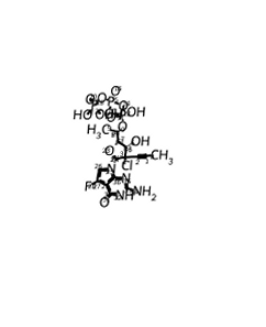 CC#CC1(Cl)[C@@H](O)[C@@H]([C@@H](C)OP(=O)(O)OP(=O)(O)OP(=O)(O)O)O[C@H]1n1cc(F)c2c(=O)[nH]c(N)nc21